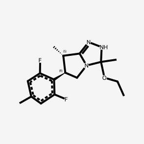 CCOC1(C)NN=C2[C@@H](C)[C@H](c3c(F)cc(C)cc3F)CN21